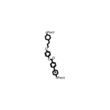 CCCCCC1CCC(CCCOc2ccc(OC(=O)c3ccc(C45CCC(CCCCC)(CC4)CC5)cc3)cc2)CC1